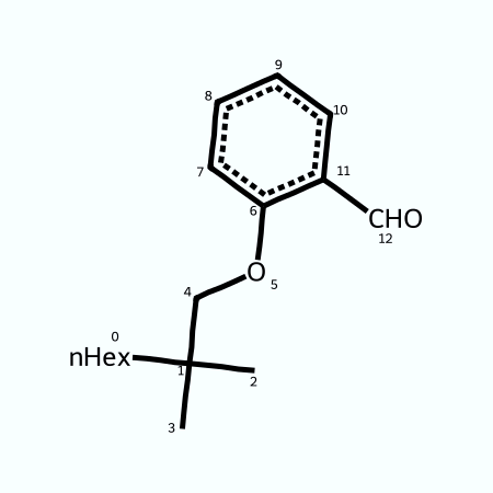 CCCCCCC(C)(C)COc1ccccc1C=O